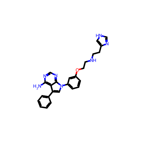 Nc1ncnc2c1c(-c1ccccc1)cn2-c1cccc(OCCNCCc2c[nH]cn2)c1